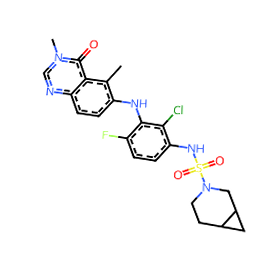 Cc1c(Nc2c(F)ccc(NS(=O)(=O)N3CCC4CC4C3)c2Cl)ccc2ncn(C)c(=O)c12